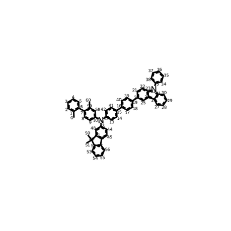 Cc1ccccc1-c1ccc(N(c2ccc(-c3ccc(-c4ccc5c(c4)c4ccccc4n5-c4ccccc4)cc3)cc2)c2ccc3c(c2)C(C)(C)c2ccccc2-3)cc1C